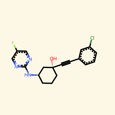 O[C@]1(C#Cc2cccc(Cl)c2)CCC[C@@H](Nc2ncc(F)cn2)C1